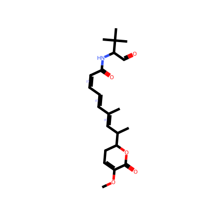 COC1=CCC(C(C)/C=C(C)/C=C/C=C\C(=O)NC(C=O)C(C)(C)C)OC1=O